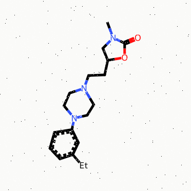 CCc1cccc(N2CCN(CCC3CN(C)C(=O)O3)CC2)c1